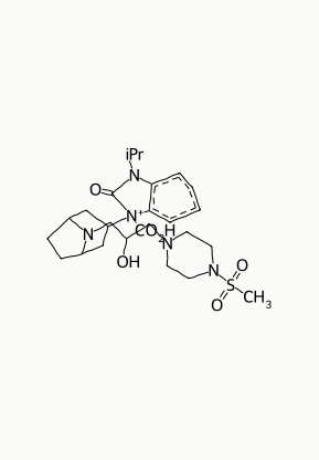 CC(C)N1C(=O)[N+](C(=O)O)(C2CC3CCC(C2)N3CC(O)CN2CCN(S(C)(=O)=O)CC2)c2ccccc21